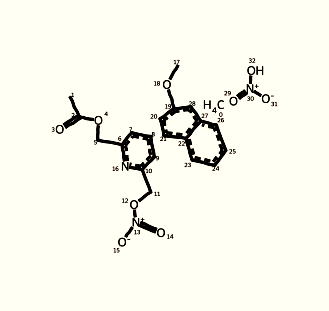 C.CC(=O)OCc1cccc(CO[N+](=O)[O-])n1.COc1ccc2ccccc2c1.O=[N+]([O-])O